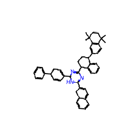 CC1(C)CCC(C)(C)c2cc(C3CCC(C4=NC(C5=CCC(c6ccccc6)C=C5)NC(C5=CC=C6C=CC=CC6C5)=N4)c4ccccc43)ccc21